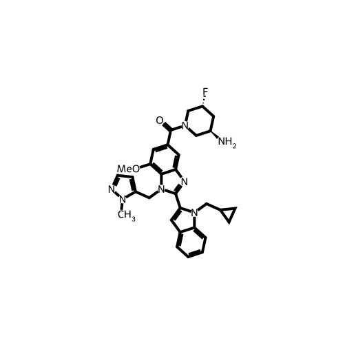 COc1cc(C(=O)N2C[C@H](N)C[C@@H](F)C2)cc2nc(-c3cc4ccccc4n3CC3CC3)n(Cc3ccnn3C)c12